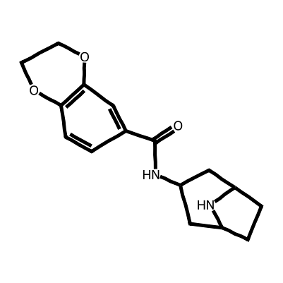 O=C(NC1CC2CCC(C1)N2)c1ccc2c(c1)OCCO2